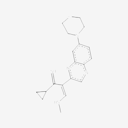 CN/C=C(\C(=N)C1CC1)c1cnc2ccc(N3CCOCC3)cc2n1